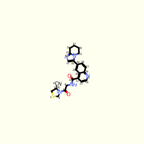 N#C[C@@H]1CSCN1C(=O)CNC(=O)c1ccnc2ccc(-c3cnc4n3CCCC4)cc12